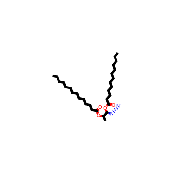 CCCCCCCCCCCCCC(=O)OC(C)C(N=[N+]=[N-])OC(=O)CCCCCCCCCCCC